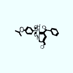 CC(C)Oc1ccc(S(=O)(=O)Nc2ncc(C=O)cc2C(=O)c2ccccc2)cc1